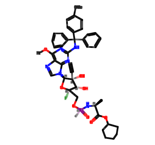 C#C[C@]1(O)[C@H](n2cnc3c(OCC)nc(NC(c4ccccc4)(c4ccccc4)c4ccc(OC)cc4)nc32)O[C@](F)(CO[P@](C)(=O)N[C@@H](C)C(=O)OC2CCCCC2)[C@H]1O